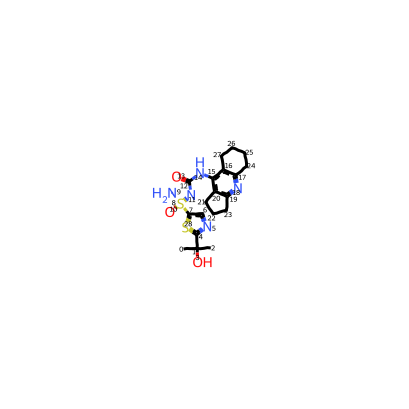 CC(C)(O)c1ncc([S@@](N)(=O)=NC(=O)Nc2c3c(nc4c2CCC4)CCCC3)s1